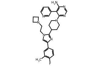 Cc1cc(-c2cn(CCN3CCC3)c(C3CCN(c4ncnc(N)c4-c4cccnc4)CC3)n2)ccc1F